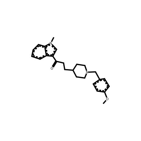 COc1ccc(CN2CCC(CCC(=O)c3cn(C)c4ccccc34)CC2)cc1